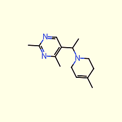 CC1=CCN(C(C)c2cnc(C)nc2C)CC1